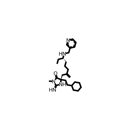 C=C(CCC[C@H](CC)NCc1cccnc1)C[C@@]1(CCC2CCCCC2)NC(=N)N(C)C1=O